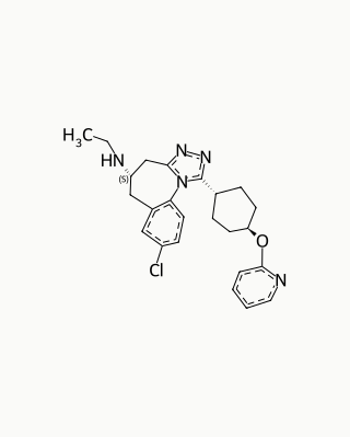 CCN[C@H]1Cc2cc(Cl)ccc2-n2c(nnc2[C@H]2CC[C@H](Oc3ccccn3)CC2)C1